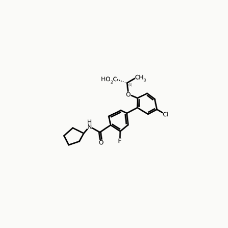 C[C@H](Oc1ccc(Cl)cc1-c1ccc(C(=O)NC2CCCC2)c(F)c1)C(=O)O